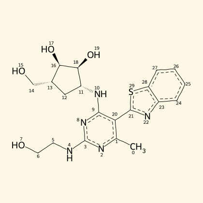 Cc1nc(NCCO)nc(N[C@@H]2C[C@H](CO)[C@@H](O)[C@H]2O)c1-c1nc2ccccc2s1